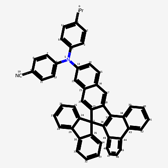 CC(C)c1ccc(N(c2ccc(C#N)cc2)c2ccc3cc4c(cc3c2)C2(c3ccccc3-c3ccccc32)c2c-4c3ccccc3c3ccccc23)cc1